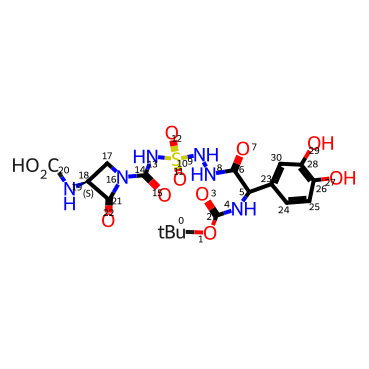 CC(C)(C)OC(=O)NC(C(=O)NNS(=O)(=O)NC(=O)N1C[C@H](NC(=O)O)C1=O)c1ccc(O)c(O)c1